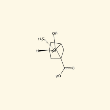 C[C@@]1(O)C=C2C3C[C@H]1CC2(C(=O)O)C3